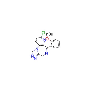 CCCCOc1ccccc1C1=NCc2nncn2-c2ccc(Cl)nc21